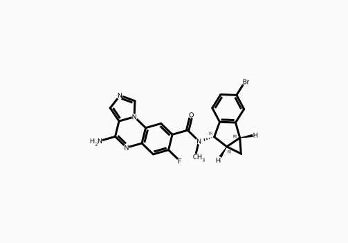 CN(C(=O)c1cc2c(cc1F)nc(N)c1cncn12)[C@@H]1c2ccc(Br)cc2[C@@H]2C[C@H]12